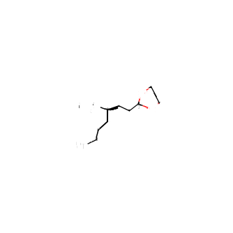 C/C(=C/CC1OCCO1)CCCC(C)C